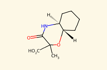 CC1(C(=O)O)O[C@H]2CCCC[C@@H]2NC1=O